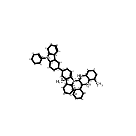 CC1CCCC2NC(N3C4=CCC(C5CCC6C(C5)C5C=CCCC5N6C5=CCCCC5)C[C@@]4(C)C4CCCCC43)C(C3CCCCC3)NC12